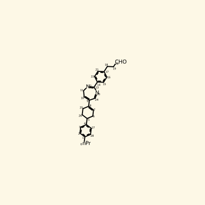 CCCc1ccc(C2CC=C(C3=CCN=C(c4ccc(CCC=O)cc4)N=C3)CC2)cc1